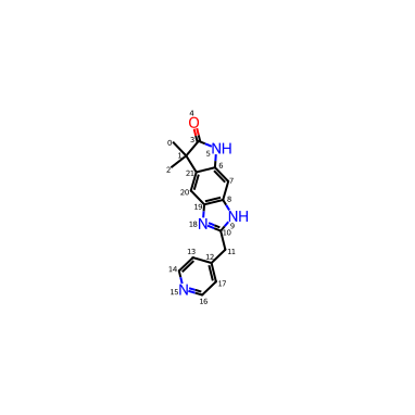 CC1(C)C(=O)Nc2cc3[nH]c(Cc4ccncc4)nc3cc21